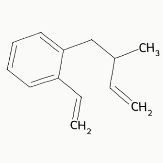 C=Cc1ccccc1CC(C)C=C